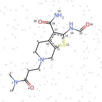 CN(C)C(=O)CCN1CCc2c(sc(NC=O)c2C(N)=O)C1